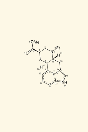 CCN1C[C@H](C(=O)OC)C[C@@H]2c3cccc4[nH]cc(c34)C[C@H]21